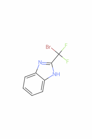 FC(F)(Br)c1nc2ccccc2[nH]1